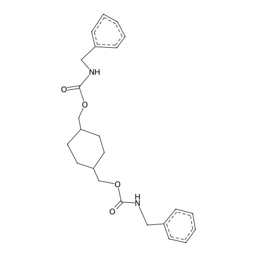 O=C(NCc1ccccc1)OCC1CCC(COC(=O)NCc2ccccc2)CC1